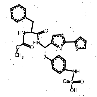 COC(=O)NC(Cc1ccccc1)C(=O)N[C@@H](Cc1ccc(NS(=O)(=O)O)cc1)c1csc(-c2cccs2)n1